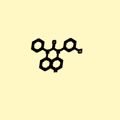 O=C(N(c1ccccc1)c1ccccc1)N(c1ccncc1)c1cccc(Cl)c1